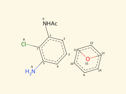 CC(=O)Nc1cccc(N)c1Cl.c1cc2cc(c1)O2